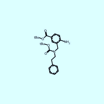 CC(C)(C)OC(=O)c1ccc(N)c(CN(CCc2ccccc2)C(=O)OC(C)(C)C)c1